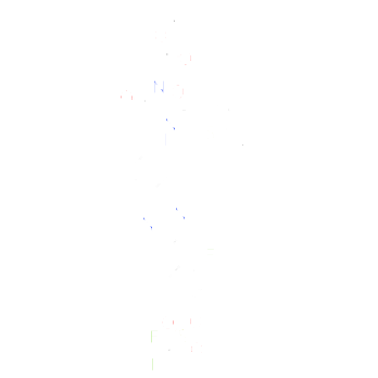 CC(C)(C)OC(=O)CNC(=O)C(Cc1ccc(-c2ncc(-c3ccc(OS(=O)(=O)C(F)(F)F)cc3F)cn2)cc1)NC(=O)c1ccc(C(C)(C)C)s1